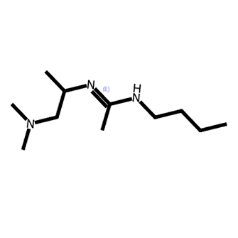 CCCCN/C(C)=N/C(C)CN(C)C